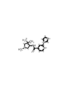 CN1CC(NC(=O)c2ccnc(-n3ccnc3)c2)C(C)(C)C1